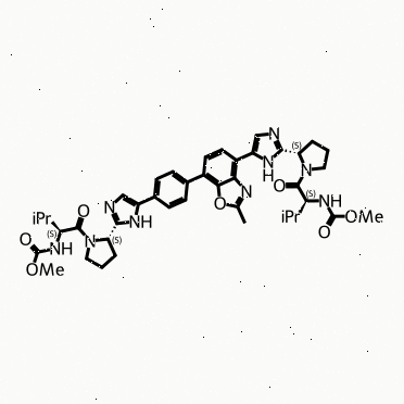 COC(=O)N[C@H](C(=O)N1CCC[C@H]1c1ncc(-c2ccc(-c3ccc(-c4cnc([C@@H]5CCCN5C(=O)[C@@H](NC(=O)OC)C(C)C)[nH]4)c4nc(C)oc34)cc2)[nH]1)C(C)C